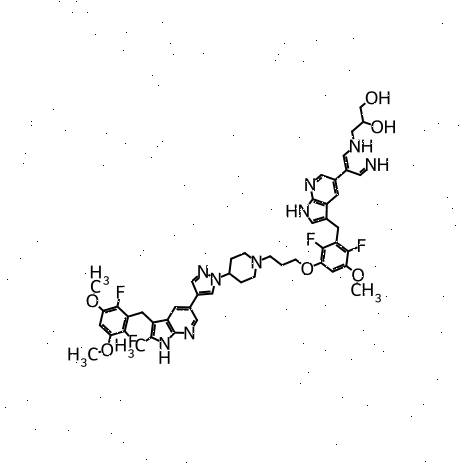 COc1cc(OC)c(F)c(Cc2c(C)[nH]c3ncc(-c4cnn(C5CCN(CCCOc6cc(OC)c(F)c(Cc7c[nH]c8ncc(/C(C=N)=C/NCC(O)CO)cc78)c6F)CC5)c4)cc23)c1F